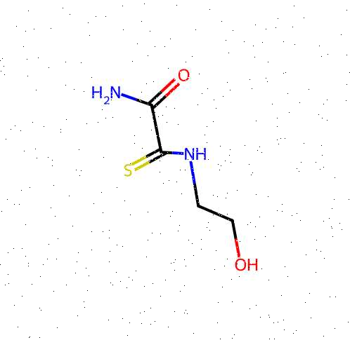 NC(=O)C(=S)NCCO